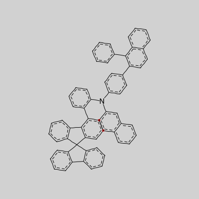 c1ccc(-c2c(-c3ccc(N(c4ccc5ccccc5c4)c4ccccc4-c4cccc5c4-c4ccccc4C54c5ccccc5-c5ccccc54)cc3)ccc3ccccc23)cc1